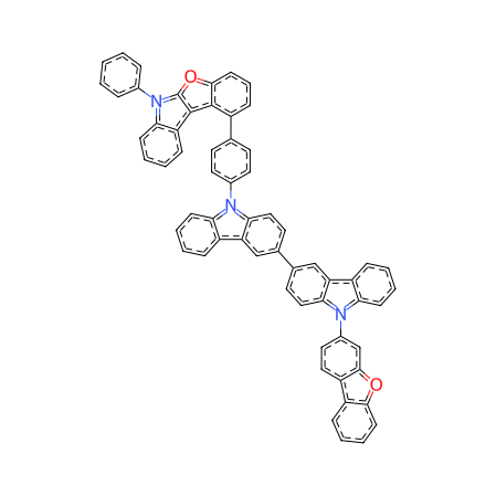 c1ccc(-n2c3ccccc3c3c4c(-c5ccc(-n6c7ccccc7c7cc(-c8ccc9c(c8)c8ccccc8n9-c8ccc9c(c8)oc8ccccc89)ccc76)cc5)cccc4oc32)cc1